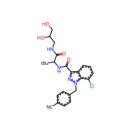 CC(C)(C)C(NC(=O)c1nn(Cc2ccc(C#N)cc2)c2c(Cl)cccc12)C(=O)NCC(O)CO